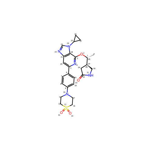 C[C@@H](Oc1nc(-c2ccc(N3CCS(=O)(=O)CC3)cc2)cc2ncn(C3CC3)c12)[C@H]1CNC(=O)C1